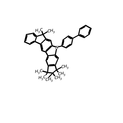 CC1(C)c2ccccc2-c2cc3c4cc5c(cc4n(-c4ccc(-c6ccccc6)cc4)c3cc21)C(C)(C)C(C)(C)C5(C)C